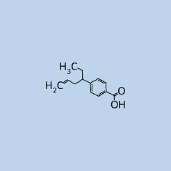 C=CCC(CC)c1ccc(C(=O)O)cc1